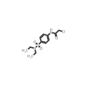 CCN(CC)S(=O)(=O)c1ccc(NC(=O)CCl)cc1